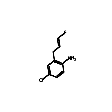 Nc1ccc(Cl)cc1CC=CF